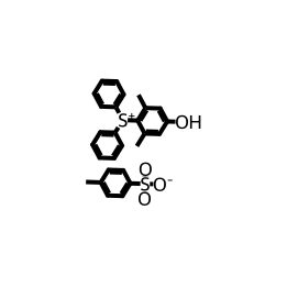 Cc1cc(O)cc(C)c1[S+](c1ccccc1)c1ccccc1.Cc1ccc(S(=O)(=O)[O-])cc1